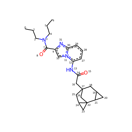 CCCN(CCC)C(=O)c1cn2c(NC(=O)CC34CC5CC5C5(CC5C3)C4)cccc2n1